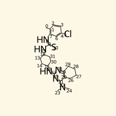 Cc1ccc(Cl)cc1NC(=S)NC1CCC(Nc2nc3c(c(N(C)C)n2)CCCC3)CC1